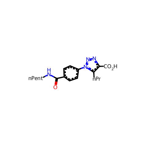 CCCCCNC(=O)c1ccc(-n2nnc(C(=O)O)c2CCC)cc1